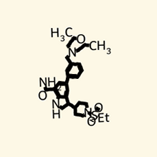 CCS(=O)(=O)N1CCC(C2CNc3c(C(N)=O)cc(-c4cccc(CN5CC(C)OC(C)C5)c4)cc32)CC1